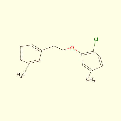 Cc1cccc(CCOc2cc(C)ccc2Cl)c1